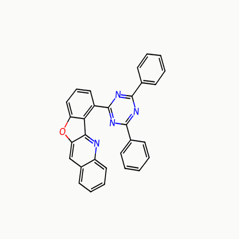 c1ccc(-c2nc(-c3ccccc3)nc(-c3cccc4oc5cc6ccccc6nc5c34)n2)cc1